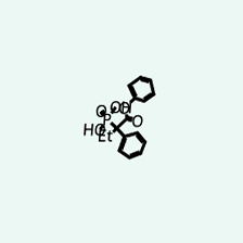 CCC(C(=O)Oc1ccccc1)(c1ccccc1)P(=O)(O)O